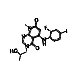 CC(O)Cn1cnc2c(c(Nc3ccc(I)cc3F)cc(=O)n2C)c1=O